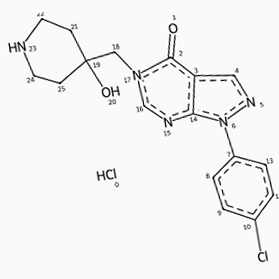 Cl.O=c1c2cnn(-c3ccc(Cl)cc3)c2ncn1CC1(O)CCNCC1